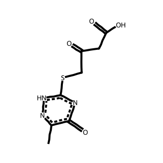 Cc1n[nH]c(SCC(=O)CC(=O)O)nc1=O